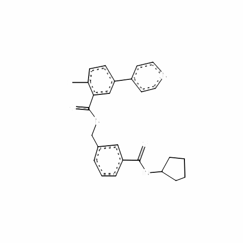 Cc1ccc(-c2ccncc2)cc1C(=O)NCc1cccc(C(=O)NC2CCCC2)c1